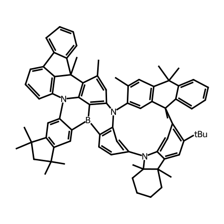 Cc1cc2c3cc1N1c4cc(ccc4B4c5cc6c(cc5N5c7cccc8c7C(C)(c7ccccc7-8)c7c(C)cc1c4c75)C(C)(C)CC6(C)C)N1c4cc(c(C(C)(C)C)cc4C4(C)CCCCC14C)C3(C)c1ccccc1C2(C)C